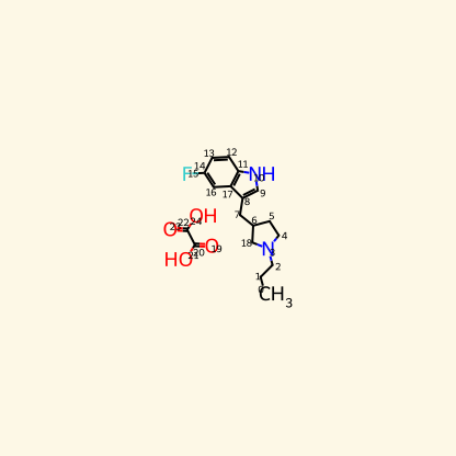 CCCN1CCC(Cc2c[nH]c3ccc(F)cc23)C1.O=C(O)C(=O)O